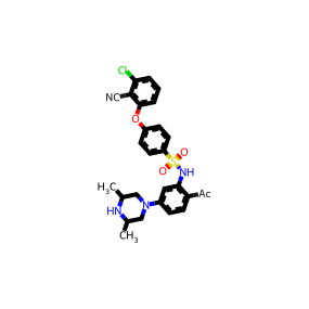 CC(=O)c1ccc(N2CC(C)NC(C)C2)cc1NS(=O)(=O)c1ccc(Oc2cccc(Cl)c2C#N)cc1